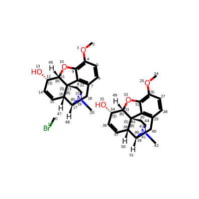 CBr.COc1ccc2c3c1O[C@H]1[C@@H](O)C=C[C@H]4[C@@H](C2)N(C)CC[C@@]341.COc1ccc2c3c1O[C@H]1[C@@H](O)C=C[C@H]4[C@@H](C2)N(C)CC[C@@]341